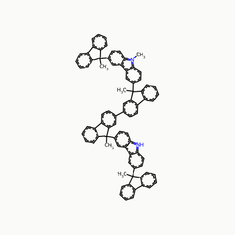 Cn1c2ccc(C3(C)c4ccccc4-c4ccccc43)cc2c2cc(C3(C)c4ccccc4-c4ccc(-c5ccc6c(c5)C(C)(c5ccc7[nH]c8ccc(C9(C)c%10ccccc%10-c%10ccccc%109)cc8c7c5)c5ccccc5-6)cc43)ccc21